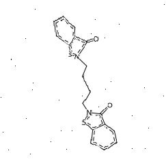 O=c1c2ccccc2sn1CCCCn1sc2ccccc2c1=O